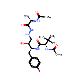 COC(=O)N[C@H](C(=O)NNC[C@H](O)[C@H](Cc1ccc(I)cc1)NC(=O)[C@@H](NC(=O)OC)C(C)(C)C(F)(F)F)C(C)(C)C